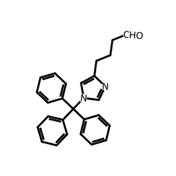 O=CCCCc1cn(C(c2ccccc2)(c2ccccc2)c2ccccc2)cn1